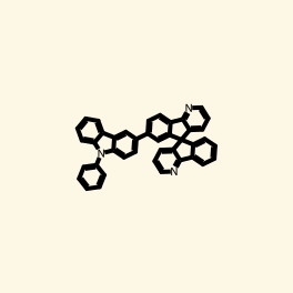 c1ccc(-n2c3ccccc3c3cc(-c4ccc5c(c4)C4(c6ccccc6-c6ncccc64)c4cccnc4-5)ccc32)cc1